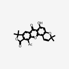 CC(=O)c1c2c(cc3c(=O)c4c(O)cc5c(c4oc13)C=CC(C)(C)O5)C(C)(C)OC2=O